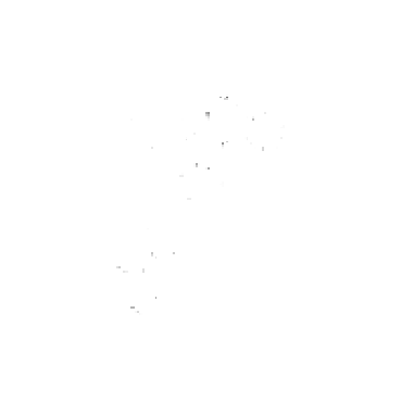 CC(C)(C)OC(=O)N1CCC(c2ccc3c(c2)C2(CCC(O)CC2)C(=O)N3c2cccc(Cl)c2C#N)CC1